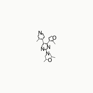 Cc1cnccc1-c1cnc(N2CC(C)OC(C)C2)nc1-c1ccoc1C